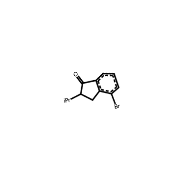 CC(C)C1Cc2c(Br)cccc2C1=O